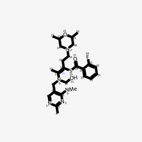 CNc1nc(C)ncc1CN(CO)/C(C)=C(/CCN1CC(C)OC(C)C1)SC(=O)c1ccccc1F